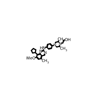 COc1cc(C)c2cnc(Nc3ccc(N4CC(C)N(CCO)C(C)C4)cc3)nc2c1C1CCCC1